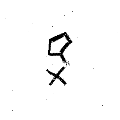 C[C](C)(C)[Ti][C]1=CC=CC1